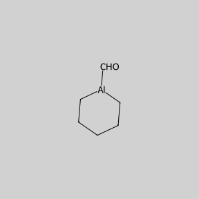 O=[CH][Al]1[CH2]CCC[CH2]1